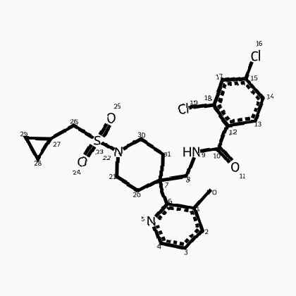 Cc1cccnc1C1(CNC(=O)c2ccc(Cl)cc2Cl)CCN(S(=O)(=O)CC2CC2)CC1